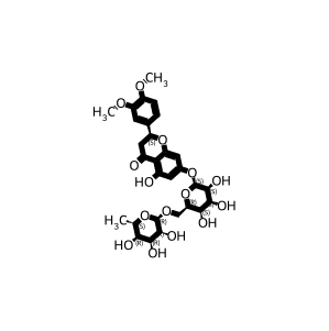 COc1ccc([C@@H]2CC(=O)c3c(O)cc(O[C@@H]4O[C@H](CO[C@@H]5O[C@@H](C)[C@H](O)[C@@H](O)[C@H]5O)[C@@H](O)[C@H](O)[C@@H]4O)cc3O2)cc1OC